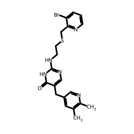 Cc1cc(Cc2cnc(NCCSCc3ncccc3Br)[nH]c2=O)cnc1C